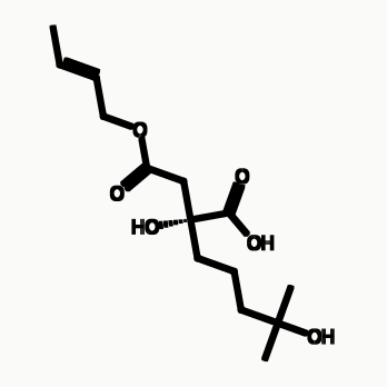 CC=CCOC(=O)C[C@](O)(CCCC(C)(C)O)C(=O)O